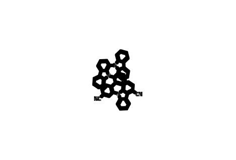 N#Cc1ccc(-c2ccccc2-n2c3ccccc3c3cccc(-n4c5ccccc5c5ccccc54)c32)c(-n2c3ccccc3c3c(C#N)cccc32)c1